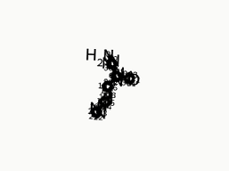 Nc1ncc(-c2cc(-c3cccc(CN4CCN(c5ncccn5)CC4)c3)nc(N3CCOCC3)n2)cn1